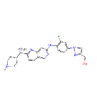 CCOC(=O)C(c1ccc2cnc(Nc3ccc(-n4ccc(CO)n4)cc3F)cc2n1)C1CCN(C)CC1